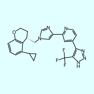 FC(F)(F)c1[nH]nnc1-c1ccnc(-c2cn(C[C@H]3CCOc4cccc(C5CC5)c43)cn2)c1